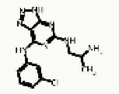 CC(N)CNc1nc(Nc2cccc(Cl)c2)c2nn[nH]c2n1